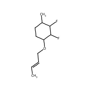 CC=CCOC1CCC(C)C(F)C1F